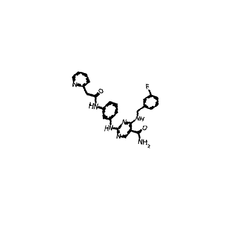 NC(=O)c1cnc(Nc2cccc(NC(=O)Cc3ccccn3)c2)nc1NCc1cccc(F)c1